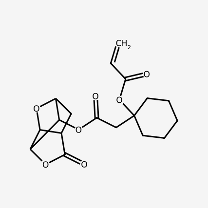 C=CC(=O)OC1(CC(=O)OC2C3CC4C(=O)OC2C4O3)CCCCC1